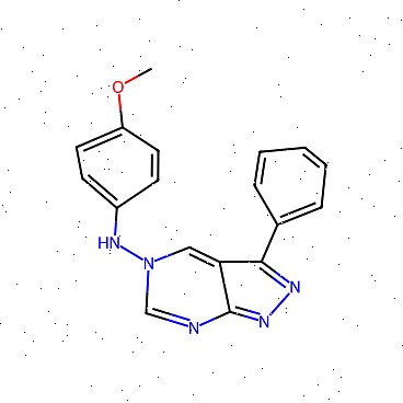 COc1ccc(Nn2cnc3nnc(-c4ccccc4)c-3c2)cc1